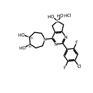 Cl.O[C@@H]1CCN(c2nc(-c3cc(F)c(Cl)cc3F)nc3c2CS(O)(O)C3)CC[C@@H]1O